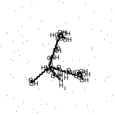 NCCCNC(=O)CCOCC(COCCC(=O)NCCCNCC(=O)CCCCO[C@@H]1OC(CO)[C@@H](O)C(O)C1O)(COCCC(=O)NCCCNC(=O)CCCCO[C@@H]1OC(CO)[C@@H](O)C(O)C1O)NC(=O)CCCCCCCCCCC(=O)O